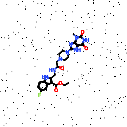 CCOC(=O)c1c(CNC(=O)CN2CCN(c3nc4c([nH]3)c(=O)[nH]c(=O)n4C)CC2)[nH]c2ccc(F)cc12